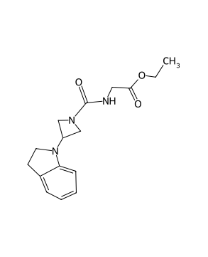 CCOC(=O)CNC(=O)N1CC(N2CCc3ccccc32)C1